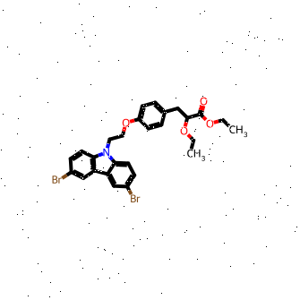 CCOC(=O)C(Cc1ccc(OCCn2c3ccc(Br)cc3c3cc(Br)ccc32)cc1)OCC